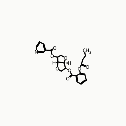 CCCC(=O)Oc1ccccc1C(=O)O[C@H]1CO[C@@H]2C(OC(=O)c3cccnc3)CO[C@H]12